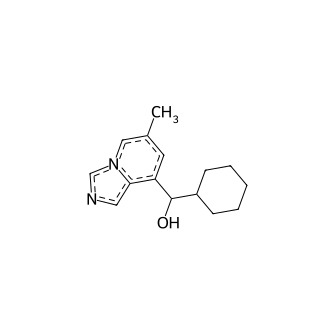 Cc1cc(C(O)C2CCCCC2)c2cncn2c1